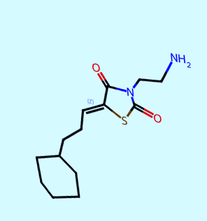 NCCN1C(=O)S/C(=C\CCC2CCCCC2)C1=O